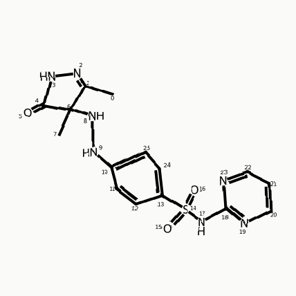 CC1=NNC(=O)C1(C)NNc1ccc(S(=O)(=O)Nc2ncccn2)cc1